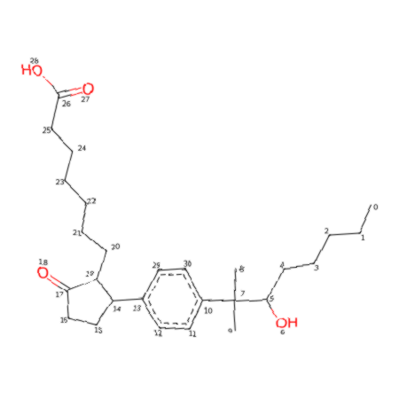 CCCCCC(O)C(C)(C)c1ccc(C2CCC(=O)C2CCCCCCC(=O)O)cc1